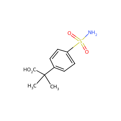 CC(C)(C(=O)O)c1ccc(S(N)(=O)=O)cc1